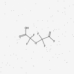 C=C(F)C(F)(F)OC(F)(F)C(=O)O